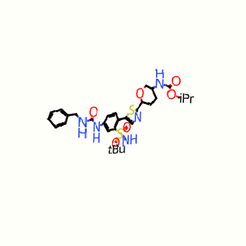 CC(C)OC(=O)NC1CCC(c2ncc(-c3ccc(NC(=O)NCc4ccccc4)cc3S(=O)(=O)NC(C)(C)C)s2)OC1